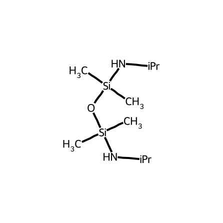 CC(C)N[Si](C)(C)O[Si](C)(C)NC(C)C